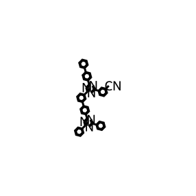 N#Cc1cccc(-c2nc(-c3ccc(-c4ccccc4)cc3)nc(-c3cccc(-c4ccc(-c5nc(-c6ccccc6)nc(-c6ccccc6)n5)cc4)c3)n2)c1